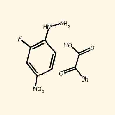 NNc1ccc([N+](=O)[O-])cc1F.O=C(O)C(=O)O